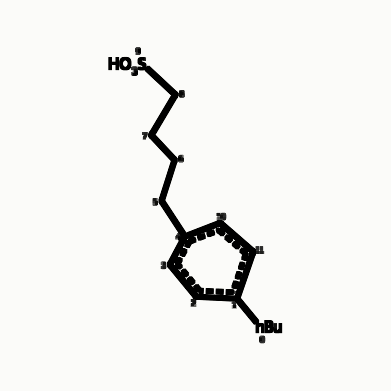 CCCCc1ccc(CCCCS(=O)(=O)O)cc1